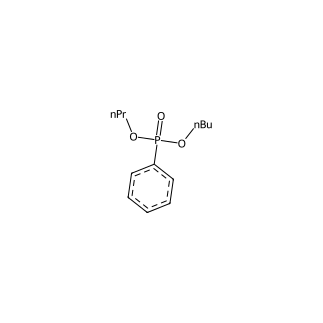 CCCCOP(=O)(OCCC)c1ccccc1